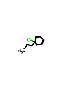 CCCC1(Cl)C=CC=CC1